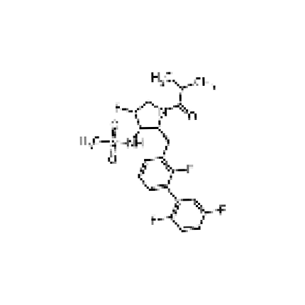 CC(C)C(=O)N1C[C@H](F)[C@H](NS(C)(=O)=O)[C@@H]1Cc1cccc(-c2cc(F)ccc2F)c1F